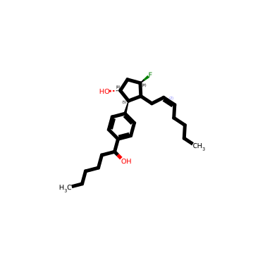 CCCC/C=C\CC1[C@H](F)C[C@@H](O)[C@@H]1c1ccc(C(O)CCCCC)cc1